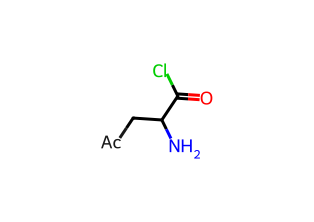 CC(=O)CC(N)C(=O)Cl